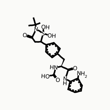 CC(C)(C)N1C(=O)CC(c2ccc(C[C@H](NC(=O)O)C(=O)Nc3ccccc3N)cc2)S1(O)O